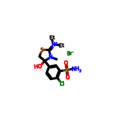 CC[N+](CC)=C1SCC(O)(c2ccc(Cl)c(S(N)(=O)=O)c2)N1C.[Br-]